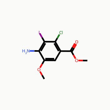 COC(=O)c1cc(OC)c(N)c(I)c1Cl